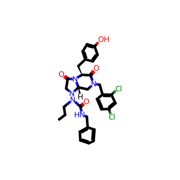 CCCN(C(=O)NCc1ccccc1)N1CC(=O)N2[C@@H](Cc3ccc(O)cc3)C(=O)N(Cc3ccc(Cl)cc3Cl)C[C@@H]21